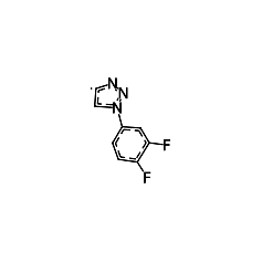 Fc1ccc(-n2c[c]nn2)cc1F